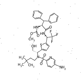 COC(=O)N[C@H](C(=O)N[C@H](c1ccc([C@@H](CO)N(CCC(C)(C)C)S(=O)(=O)c2ccc(N)cn2)s1)C(F)(F)F)C(c1ccccc1)c1ccccc1